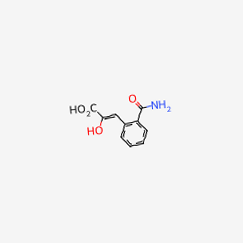 NC(=O)c1ccccc1C=C(O)C(=O)O